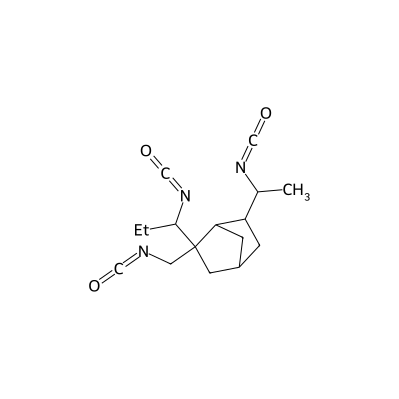 CCC(N=C=O)C1(CN=C=O)CC2CC(C(C)N=C=O)C1C2